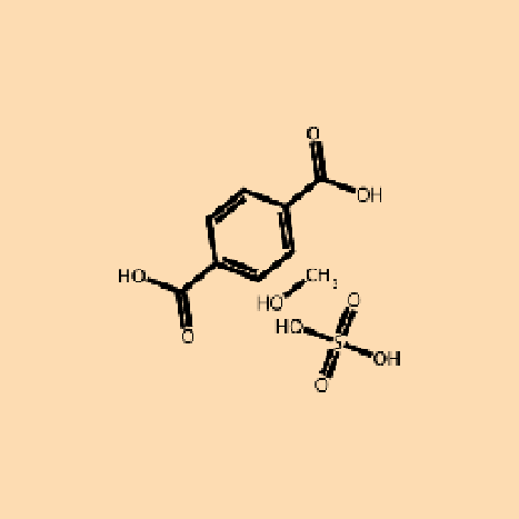 CO.O=C(O)c1ccc(C(=O)O)cc1.O=S(=O)(O)O